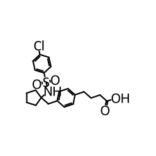 O=C(O)CCCc1ccc(CC2(NS(=O)(=O)c3ccc(Cl)cc3)CCCC2)cc1